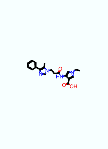 CCn1cc(NC(=O)CCn2cnc(-c3ccccc3)c2C)c(C(=O)O)c1